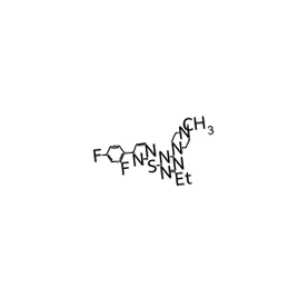 CCc1nc(Sc2nccc(-c3ccc(F)cc3F)n2)nc(N2CCN(C)CC2)n1